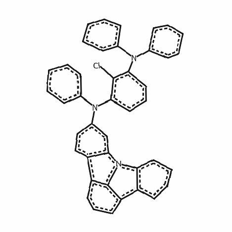 Clc1c(N(c2ccccc2)c2ccccc2)cccc1N(c1ccccc1)c1ccc2c3cccc4c5ccccc5n(c2c1)c43